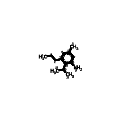 CCCc1cc(C)cc(N)c1C(C)C